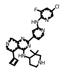 CC1(C)CNCCC1Nc1nc(-c2ccnc(Nc3ncc(Cl)cc3F)c2)nc2cncc(C3=CC=C3)c12